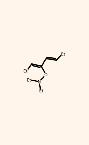 CCC=CC(=CCC)ON(CC)CC